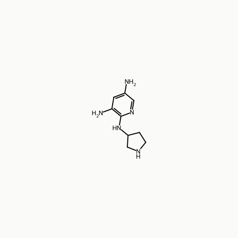 Nc1cnc(NC2CCNC2)c(N)c1